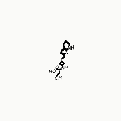 O=C(O)[C@H](CCO)N[C@H]1C[C@@H](CCc2ccc3c(n2)NCCC3)C1